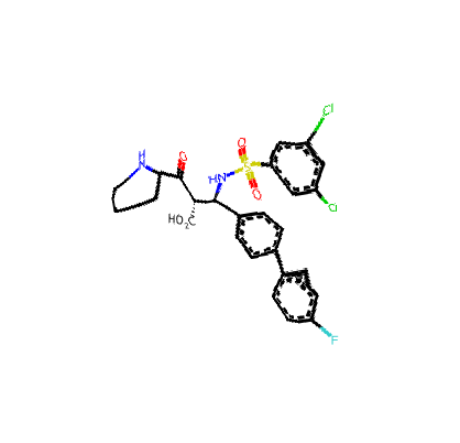 O=C(O)[C@H](C(=O)C1CCCN1)[C@@H](NS(=O)(=O)c1cc(Cl)cc(Cl)c1)c1ccc(-c2ccc(F)cc2)cc1